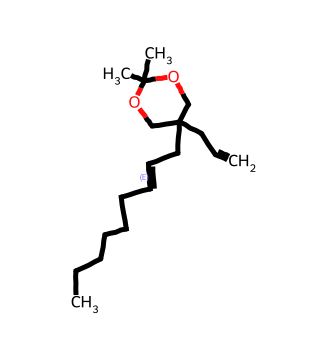 C=CCC1(C/C=C/CCCCCC)COC(C)(C)OC1